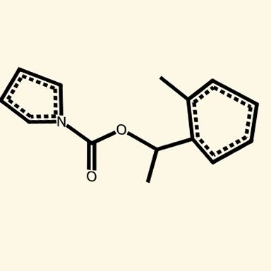 Cc1ccccc1C(C)OC(=O)n1cccc1